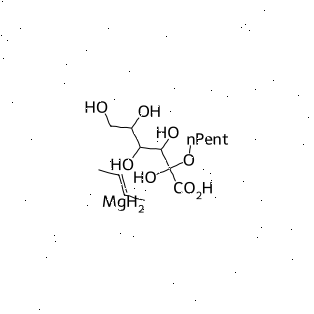 CC=CC.CCCCCOC(O)(C(=O)O)C(O)C(O)C(O)CO.[MgH2]